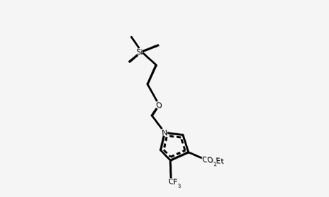 CCOC(=O)c1cn(COCC[Si](C)(C)C)cc1C(F)(F)F